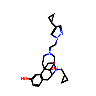 Oc1ccc2c(c1)C13CCN(CCn4cc(C5CC5)cn4)CCC1(O)C(C2)N(CC1CC1)CC3